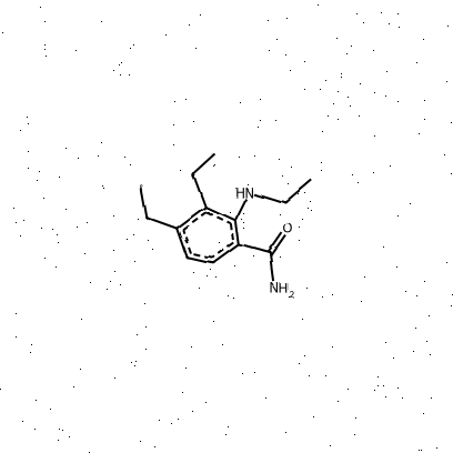 CCNc1c(C(N)=O)ccc(CC)c1CC